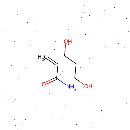 C=CC(N)=O.OCCCO